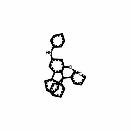 c1ccc(Nc2cc3c4c(c2)-c2ccccc2C4(c2ccccc2)c2ccccc2O3)cc1